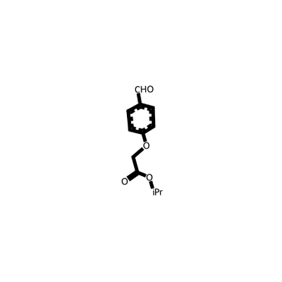 CC(C)OC(=O)COc1ccc(C=O)cc1